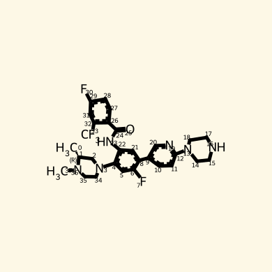 C[C@@H]1CN(c2cc(F)c(-c3ccc(N4CCNCC4)nc3)cc2NC(=O)c2ccc(F)cc2C(F)(F)F)CCN1C